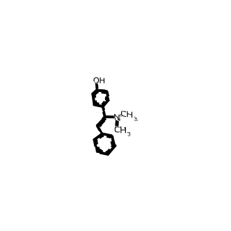 CN(C)C(=Cc1ccccc1)c1ccc(O)cc1